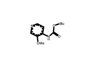 COc1cnccc1NC(=O)OC(C)(C)C